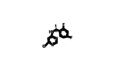 C[C@@H](Nc1cc(Cl)ncn1)c1ccc(F)cc1F